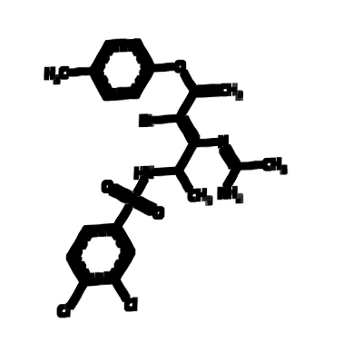 C=C(Oc1ccc(C)cc1)/C(CC)=C(\N=C(\C)N)C(C)NS(=O)(=O)c1ccc(Cl)c(Cl)c1